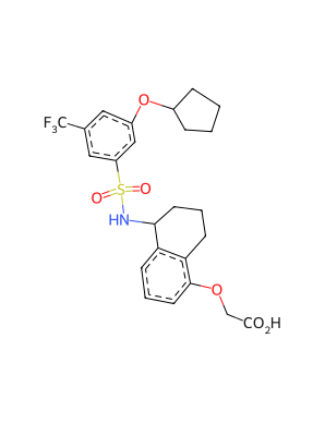 O=C(O)COc1cccc2c1CCCC2NS(=O)(=O)c1cc(OC2CCCC2)cc(C(F)(F)F)c1